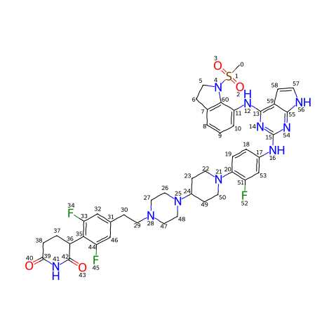 CS(=O)(=O)N1CCc2cccc(Nc3nc(Nc4ccc(N5CCC(N6CCN(CCc7cc(F)c(C8CCC(=O)NC8=O)c(F)c7)CC6)CC5)c(F)c4)nc4[nH]ccc34)c21